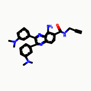 C#CCNC(=O)c1ccc2nc(-c3cccc(N(C)C)c3)c(-c3cccc(N(C)C)c3)nc2c1N